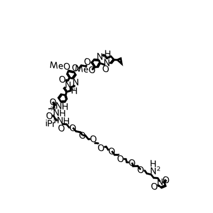 COc1cc2c(cc1OCCCOc1cc3c(cc1OC)C(=O)N1C=C(C4CC4)C[C@H]1C=N3)N=C[C@@H]1CC(c3ccc(NC(=O)[C@H](C)NC(=O)[C@H](NC(=O)CCOCCOCCOCCOCCOCCOCCOCCOCCC(N)CCN4C(=O)C=CC4=O)C(C)C)cc3)=CN1C2=O